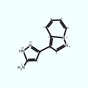 Nc1cc(-c2cnn3ccccc23)n[nH]1